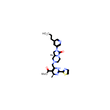 COC(=O)C1=C(CN2CCN3C(=O)N(c4cncc(CCC(=O)O)c4)C[C@@H]3C2)NC(c2nccs2)=N[C@H]1C